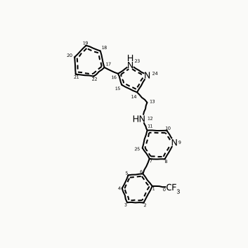 FC(F)(F)c1ccccc1-c1cncc(NCc2cc(-c3ccccc3)[nH]n2)c1